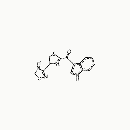 O=C(C1=NC(C2=NOCN2)CS1)c1c[nH]c2ccccc12